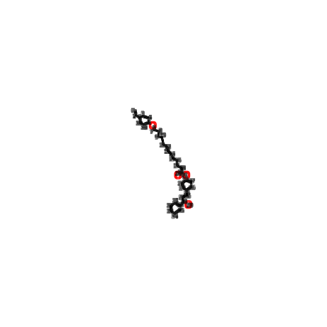 C=Cc1ccc(OCCCCCCCCCCCCC(=O)Oc2ccc(C=CC(=O)c3ccccc3)cc2)cc1